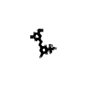 OC1=CC(CCc2cc(F)cc(C(F)(F)F)c2)=NNC1